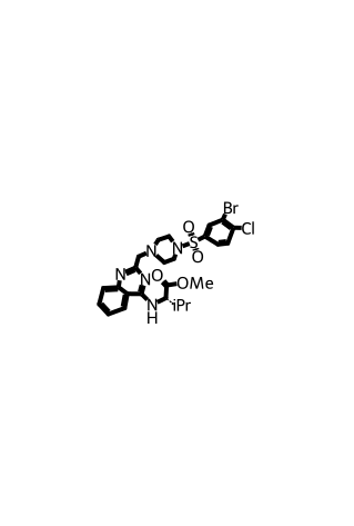 COC(=O)[C@@H](Nc1nc(CN2CCN(S(=O)(=O)c3ccc(Cl)c(Br)c3)CC2)nc2ccccc12)C(C)C